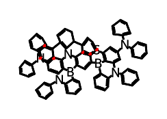 C1=CC(c2ccccc2)=C(N2c3cc4c(cc3B3c5ccccc5N(c5ccccc5)c5cc(N(c6ccccc6)c6ccccc6)cc2c53)B2c3ccccc3N(c3ccccc3)c3cc(N(c5ccccc5)c5ccccc5)cc(c32)S4)C(c2ccccc2)C1